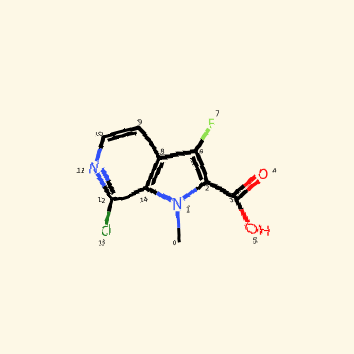 Cn1c(C(=O)O)c(F)c2ccnc(Cl)c21